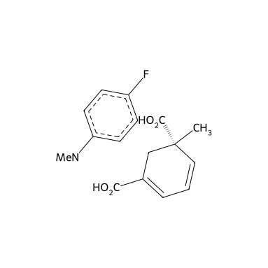 CNc1ccc(F)cc1.C[C@@]1(C(=O)O)C=CC=C(C(=O)O)C1